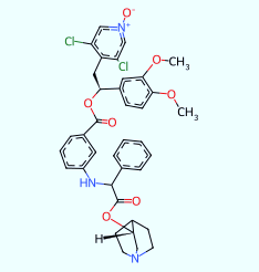 COc1ccc([C@H](Cc2c(Cl)c[n+]([O-])cc2Cl)OC(=O)c2cccc(NC(C(=O)O[C@H]3CN4CCC3CC4)c3ccccc3)c2)cc1OC